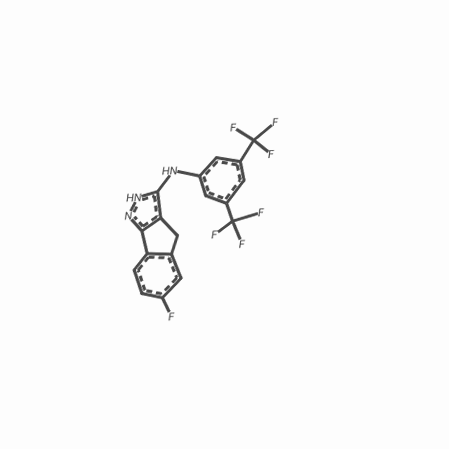 Fc1ccc2c(c1)Cc1c-2n[nH]c1Nc1cc(C(F)(F)F)cc(C(F)(F)F)c1